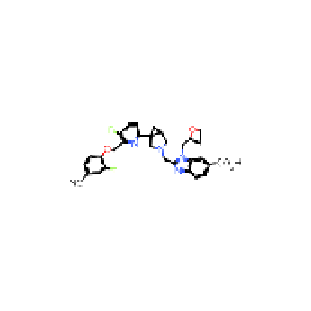 N#Cc1ccc(OCc2nc(C34CC3CN(Cc3nc5ccc(C(=O)O)cc5n3C[C@@H]3CCO3)C4)ccc2F)c(F)c1